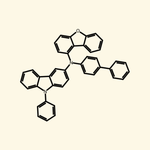 c1ccc(-c2ccc(N(c3ccc4c(c3)c3ccccc3n4-c3ccccc3)c3cccc4oc5ccccc5c34)cc2)cc1